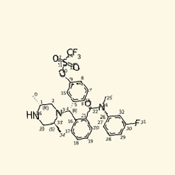 C[C@@H]1CN([C@H](c2cccc(OS(=O)(=O)C(F)(F)F)c2)c2ccccc2C(=O)N(C)c2cccc(F)c2)[C@@H](C)CN1